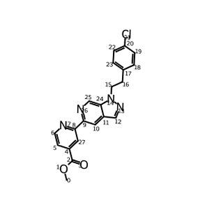 COC(=O)c1ccnc(-c2cc3cnn(CCc4ccc(Cl)cc4)c3cn2)c1